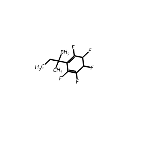 BC(C)(CC)C1=C(F)C(F)C(F)C(F)=C1F